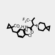 C[C@H]([C@H](C(=O)Nc1cc(CC2(C(=O)O)CC2)ccc1Cl)N1CCC2(CC1)CC2)C(F)(F)F